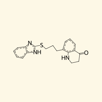 O=C1CCNc2c(CCCSc3nc4ccccc4[nH]3)cccc21